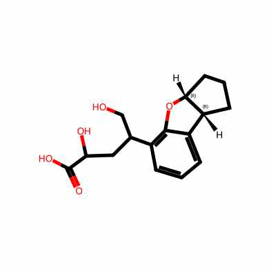 O=C(O)C(O)CC(CO)c1cccc2c1O[C@@H]1CCC[C@H]21